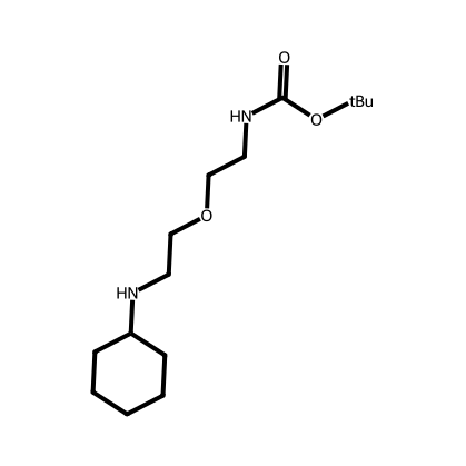 CC(C)(C)OC(=O)NCCOCCNC1CCCCC1